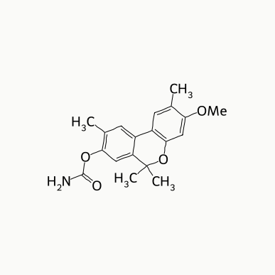 COc1cc2c(cc1C)-c1cc(C)c(OC(N)=O)cc1C(C)(C)O2